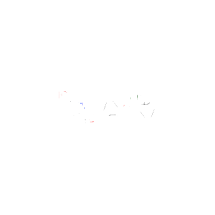 CC1C(c2ccc(OCc3ccccc3Cl)cc2)OCCN1CCO